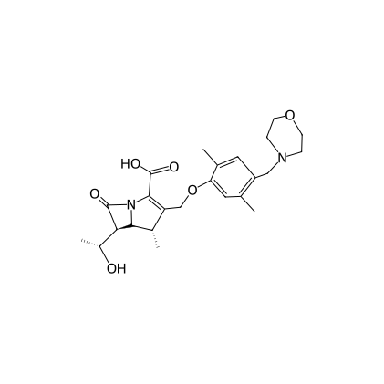 Cc1cc(OCC2=C(C(=O)O)N3C(=O)[C@H]([C@@H](C)O)C3[C@H]2C)c(C)cc1CN1CCOCC1